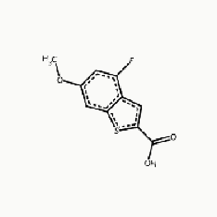 COc1cc(F)c2cc(C(=O)O)sc2c1